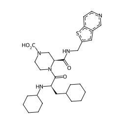 O=C(NCc1cc2cnccc2s1)[C@@H]1CN(C(=O)O)CCN1C(=O)[C@@H](CC1CCCCC1)NC1CCCCC1